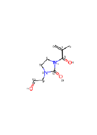 C=C(C)C(=O)N1CCN(CC=O)C1=O